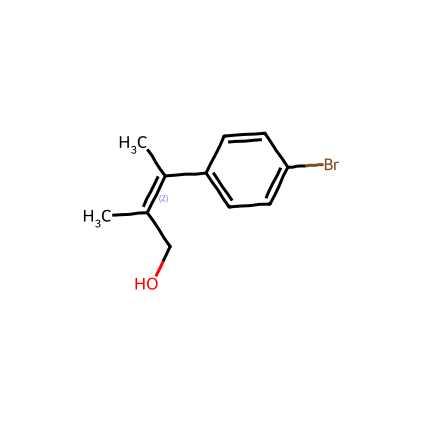 C/C(CO)=C(\C)c1ccc(Br)cc1